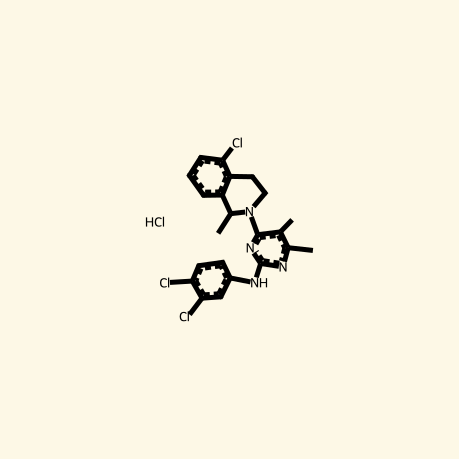 Cc1nc(Nc2ccc(Cl)c(Cl)c2)nc(N2CCc3c(Cl)cccc3C2C)c1C.Cl